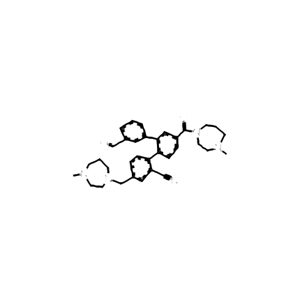 CN1CCCN(Cc2ccc(-c3ccc(C(=O)N4CCCN(C)CC4)cc3-c3cccc(C=O)c3)c(C#N)c2)CC1